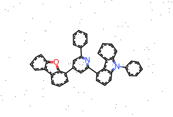 c1ccc(-c2cc(-c3cccc4c3oc3ccccc34)cc(-c3cccc4c3c3ccccc3n4-c3ccccc3)n2)cc1